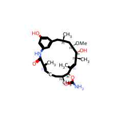 CO[C@H]1C[C@H](C)Cc2cc(O)cc(c2)NC(=O)/C(C)=C/CC[C@H](C)[C@@H](OC(N)=O)/C(C)=C/[C@H](C)[C@H]1O